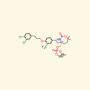 CC(C)(C)OP(=O)(OC[C@@]1(CCc2ccc(OCCCc3ccc(Cl)c(Cl)c3)c(C(F)(F)F)c2)CCC(C)(C)OC(=O)N1)OC(C)(C)C